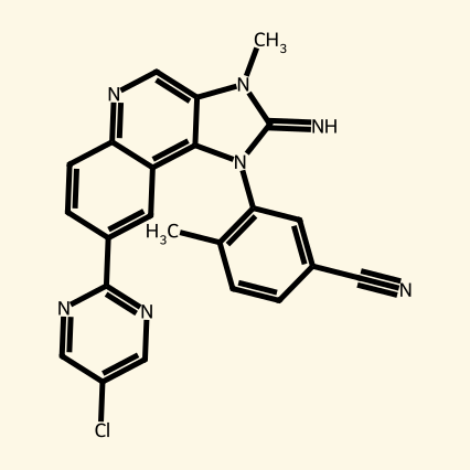 Cc1ccc(C#N)cc1-n1c(=N)n(C)c2cnc3ccc(-c4ncc(Cl)cn4)cc3c21